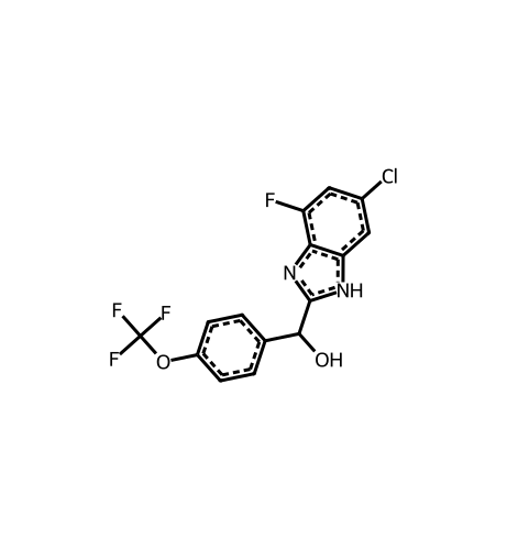 OC(c1ccc(OC(F)(F)F)cc1)c1nc2c(F)cc(Cl)cc2[nH]1